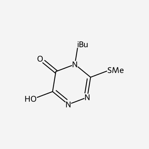 [CH2]Sc1nnc(O)c(=O)n1C(C)CC